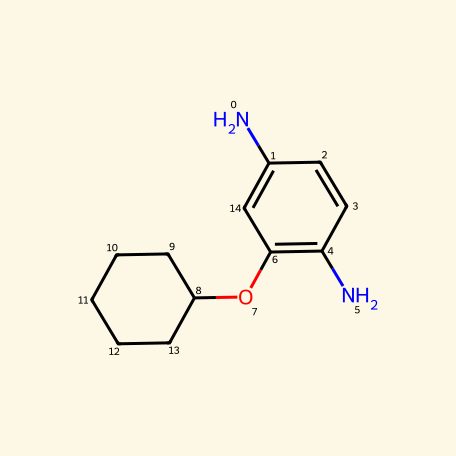 Nc1ccc(N)c(OC2CCCCC2)c1